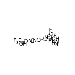 OC(c1ccc(N2CCN(c3ccc(-c4ccc(C(F)(F)[C@](O)(Cn5cnnn5)c5ccc(F)cc5F)nc4)cc3)CC2)cc1F)C(F)(F)F